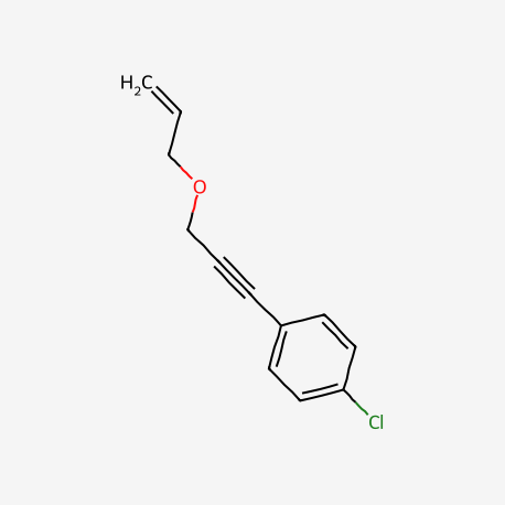 C=CCOCC#Cc1ccc(Cl)cc1